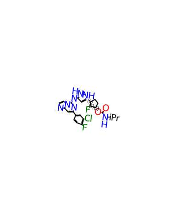 CC(C)NC(=O)O[C@H]1CC[C@@H](c2cc(Nc3nc(-c4ccc(F)c(Cl)c4)cc4nccn34)n[nH]2)[C@@H]1F